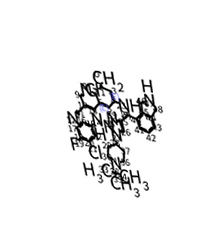 C=C(Cl)/C=C(\C=C1/CN=CC(C#N)=C1Nc1ccc(F)c(Cl)c1)N[C@H](c1cn(C2CCN(C(C)(C)C)CC2)nn1)c1cccc2c1CNC2